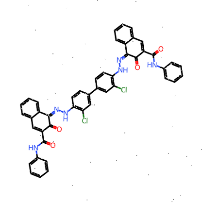 O=C(Nc1ccccc1)C1=Cc2ccccc2C(=NNc2ccc(-c3ccc(NN=C4C(=O)C(C(=O)Nc5ccccc5)=Cc5ccccc54)c(Cl)c3)cc2Cl)C1=O